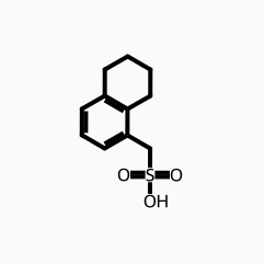 O=S(=O)(O)Cc1cccc2c1CCCC2